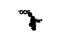 O=C([O-])c1ccc(-c2ccc(CN(CCCc3ccccc3)C(=O)c3ccccc3)cc2)cc1.[Na+]